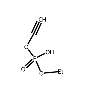 C#COP(=O)(O)OCC